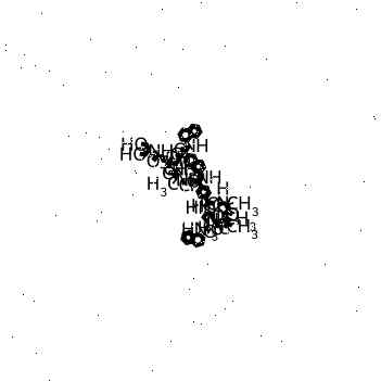 CN[C@@H](C)C(=O)N[C@H](C(=O)N1C[C@@H](NC(=O)c2ccc(C(=O)Nc3ccc4c(c3)CN(C(=O)[C@@H](NC(=O)[C@H](C)NC)C(C)(C)SCC(=O)NC(CO)CO)[C@H](C(=O)N[C@@H]3CCCc5ccccc53)C4)cc2)C[C@H]1C(=O)N[C@@H]1CCCc2ccccc21)C(C)(C)C